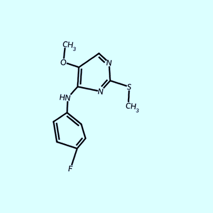 COc1cnc(SC)nc1Nc1ccc(F)cc1